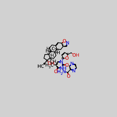 C#C[C@]1(O)CC[C@H]2[C@@H]3CCC4=Cc5oncc5C[C@]4(C)[C@H]3CC[C@@]21C.Cc1cn([C@H]2C=C[C@@H](CO)O2)c(=O)[nH]c1=O.NC(=O)c1cnccn1